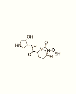 O=C(N[C@@H]1CNC[C@@H]1O)[C@@H]1CC[C@@H]2CN1C(=O)N2OS